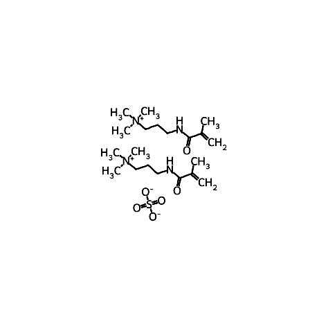 C=C(C)C(=O)NCCC[N+](C)(C)C.C=C(C)C(=O)NCCC[N+](C)(C)C.O=S(=O)([O-])[O-]